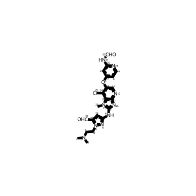 CN(C)CCn1nc(Nc2nc3ncc(Oc4ccnc(NC=O)c4)c(Cl)c3n2C)cc1C=O